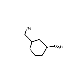 O=C(O)N1CCSC(CO)C1